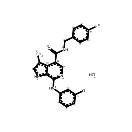 Cc1c[nH]c2c(Nc3cccc(Cl)c3)ncc(C(=O)NCc3ccc(F)cc3)c12.Cl